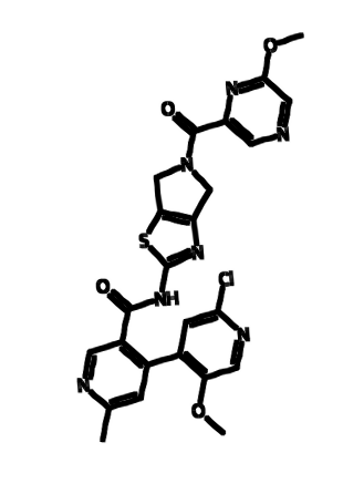 COc1cncc(C(=O)N2Cc3nc(NC(=O)c4cnc(C)cc4-c4cc(Cl)ncc4OC)sc3C2)n1